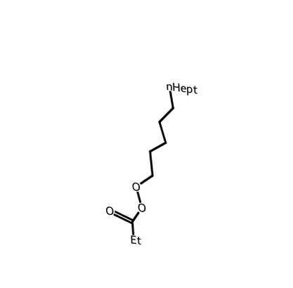 CCCCCCCCCCCCOOC(=O)CC